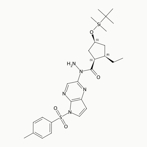 CC[C@@H]1C[C@H](O[Si](C)(C)C(C)(C)C)C[C@@H]1C(=O)N(N)c1cnc2c(ccn2S(=O)(=O)c2ccc(C)cc2)n1